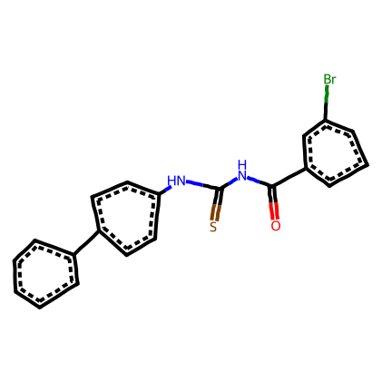 O=C(NC(=S)Nc1ccc(-c2ccccc2)cc1)c1cccc(Br)c1